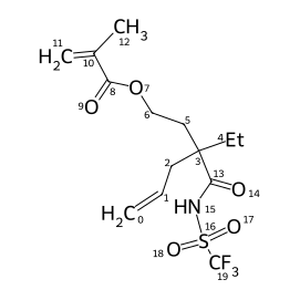 C=CCC(CC)(CCOC(=O)C(=C)C)C(=O)NS(=O)(=O)C(F)(F)F